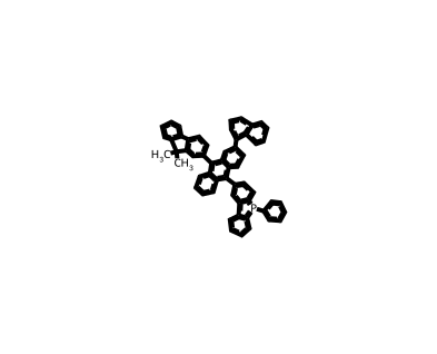 CC1(C)c2ccccc2-c2ccc(-c3c4ccccc4c(-c4ccc5c(c4)c4ccccc4p5-c4ccccc4)c4ccc(-c5cccc6ccccc56)cc34)cc21